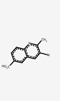 Cc1nc2ccc(C(=O)O)cc2cc1Br